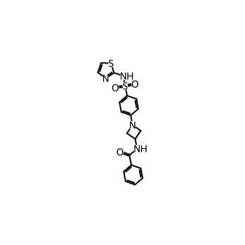 O=C(NC1CN(c2ccc(S(=O)(=O)Nc3nccs3)cc2)C1)c1ccccc1